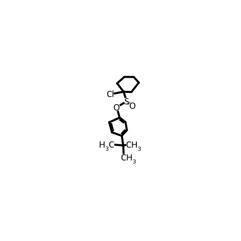 CC(C)(C)c1ccc(OS(=O)C2(Cl)CCCCC2)cc1